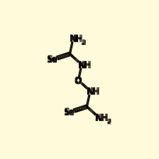 NC(=[Se])NONC(N)=[Se]